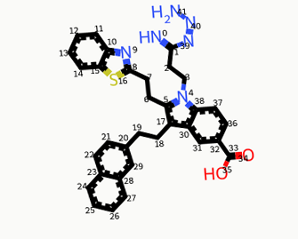 N=C(CCn1c(CCc2nc3ccccc3s2)c(CCc2ccc3ccccc3c2)c2cc(C(=O)O)ccc21)/N=N\N